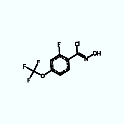 ON=C(Cl)c1ccc(OC(F)(F)F)cc1F